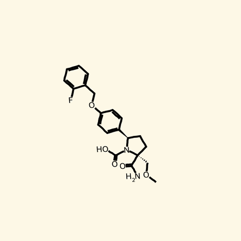 COC[C@@]1(C(N)=O)CC[C@H](c2ccc(OCc3ccccc3F)cc2)N1C(=O)O